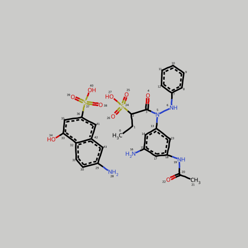 CCC(C(=O)N(Nc1ccccc1)c1cc(N)cc(NC(C)=O)c1)S(=O)(=O)O.Nc1ccc2c(O)cc(S(=O)(=O)O)cc2c1